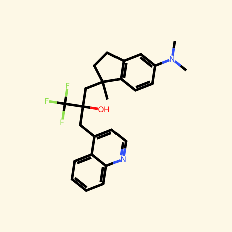 CN(C)c1ccc2c(c1)CCC2(C)CC(O)(Cc1ccnc2ccccc12)C(F)(F)F